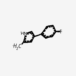 [CH2]c1cc(-c2ccc(F)cc2)c[nH]1